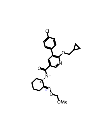 COCO/N=C1\CCCC[C@@H]1NC(=O)c1cnc(OCC2CC2)c(-c2ccc(Cl)cc2)c1